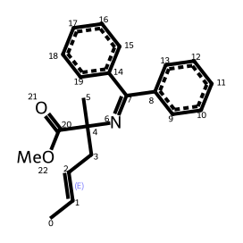 C/C=C/CC(C)(N=C(c1ccccc1)c1ccccc1)C(=O)OC